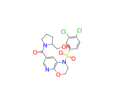 O=C(c1cnc2c(c1)N(S(=O)(=O)c1ccc(Cl)c(Cl)c1)CCO2)N1CCCC1CO